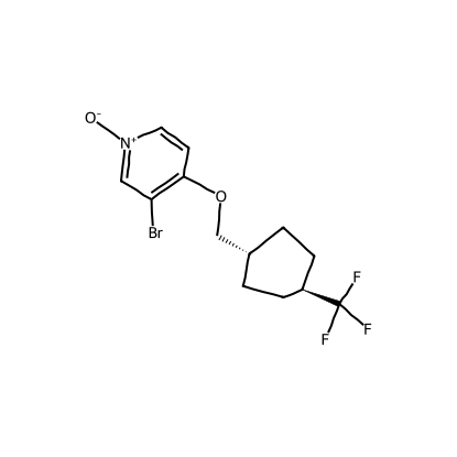 [O-][n+]1ccc(OC[C@H]2CC[C@H](C(F)(F)F)CC2)c(Br)c1